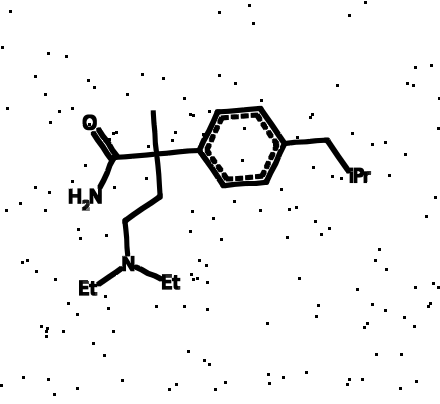 CCN(CC)CCC(C)(C(N)=O)c1ccc(CC(C)C)cc1